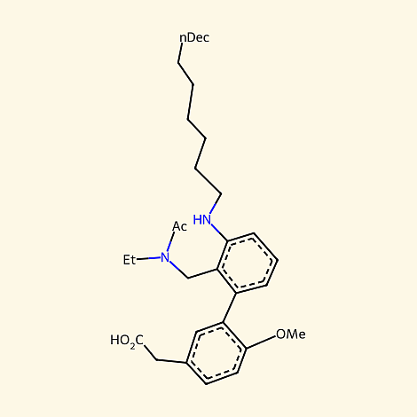 CCCCCCCCCCCCCCCCNc1cccc(-c2cc(CC(=O)O)ccc2OC)c1CN(CC)C(C)=O